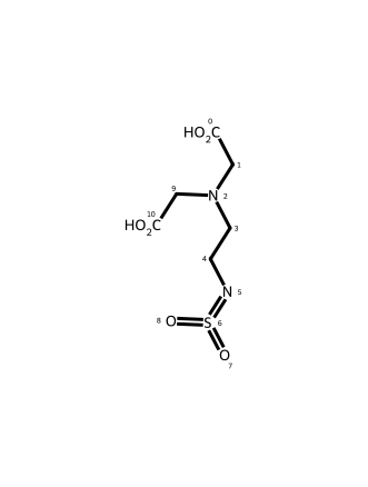 O=C(O)CN(CCN=S(=O)=O)CC(=O)O